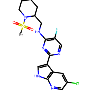 CCS(=O)(=O)N1CCCCC1CNc1nc(-c2c[nH]c3ncc(Cl)cc23)ncc1F